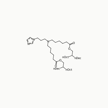 CCCCCCCCCCC(CCCCCCCC)COC(=O)CCCCCN(CCCCCC(=O)OCC(CCCCCCCC)CCCCCCCCCC)CCCn1ccnc1